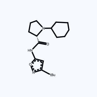 CC(C)(C)c1cc(NC(=O)[C@@H]2CCCN2C2CCCCC2)on1